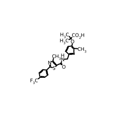 Cc1cc(CNC(=O)c2sc(-c3ccc(C(F)(F)F)cc3)nc2C)ccc1OC(C)(C)C(=O)O